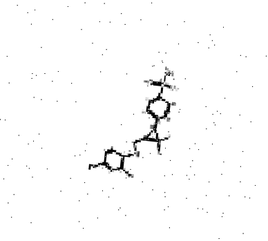 Cc1cc(F)ccc1NCC1C(c2ccc(S(N)(=O)=O)cc2)C1(C)C